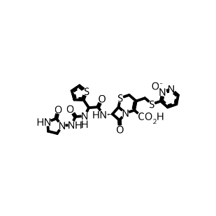 O=C(NC(C(=O)N[C@H]1C(=O)N2C(C(=O)O)=C(CSc3cccn[n+]3[O-])CSC12)c1cccs1)NN1CCNC1=O